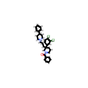 O=C(c1ccccc1)N1CCCC(CCCN2CCC(c3ccccc3)CC2)(c2ccc(Cl)c(Cl)c2)C1